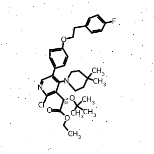 CCOC(=O)[C@@H](OC(C)(C)C)c1c(Cl)ncc(-c2ccc(OCCc3ccc(F)cc3)cc2)c1N1CCC(C)(C)CC1